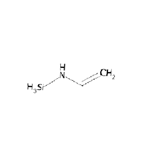 C=CN[SiH3]